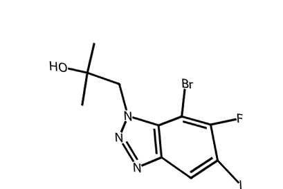 CC(C)(O)Cn1nnc2cc(I)c(F)c(Br)c21